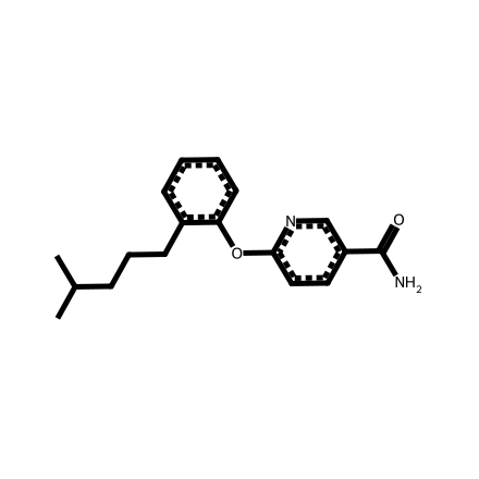 CC(C)CCCc1ccccc1Oc1ccc(C(N)=O)cn1